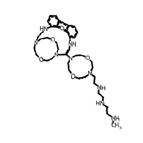 CNCCNCCNCCN1CCOCCN(/C2=C/Nc3cccc4c3oc3c(cccc34)NCCN3CCOCCN2CCOCC3)CCOCC1